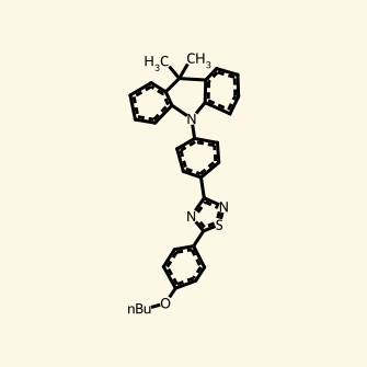 CCCCOc1ccc(-c2nc(-c3ccc(N4c5ccccc5C(C)(C)c5ccccc54)cc3)ns2)cc1